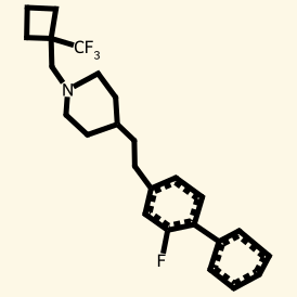 Fc1cc(CCC2CCN(CC3(C(F)(F)F)CCC3)CC2)ccc1-c1ccccc1